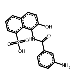 Nc1cccc(C(=O)Nc2c(O)ccc3cccc(S(=O)(=O)O)c23)c1